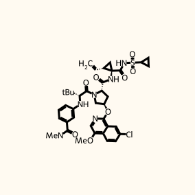 C=C[C@@H]1C[C@]1(NC(=O)[C@@H]1C[C@@H](Oc2ncc(OC)c3ccc(Cl)cc23)CN1C(=O)[C@H](Nc1cccc(C(=O)NC)c1)C(C)(C)C)C(=O)NS(=O)(=O)C1CC1